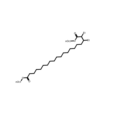 CCCCCCCCOC(=O)CCCCCCCCCCCCCCCCC(CC)C(CC)C(=O)OCCCCCCCC